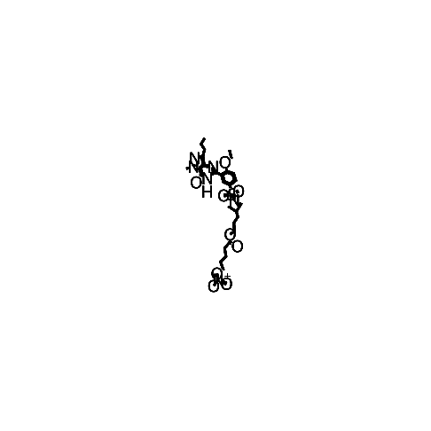 CCCc1nn(C)c2c(=O)[nH]c(-c3cc(S(=O)(=O)N4CC(CCCOC(=O)CCCCO[N+](=O)[O-])C4)ccc3OCC)nc12